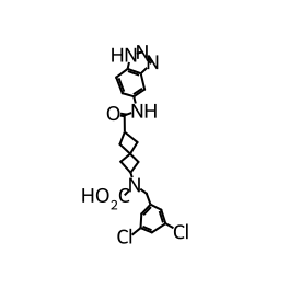 O=C(Nc1ccc2[nH]nnc2c1)C1CC2(C1)CC(N(Cc1cc(Cl)cc(Cl)c1)C(=O)O)C2